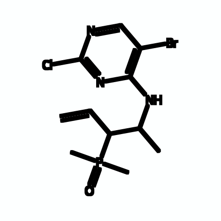 C=CC(C(C)Nc1nc(Cl)ncc1Br)P(C)(C)=O